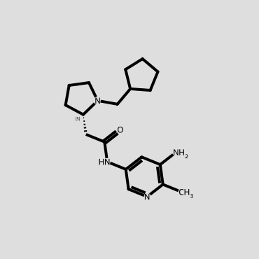 Cc1ncc(NC(=O)C[C@@H]2CCCN2CC2CCCC2)cc1N